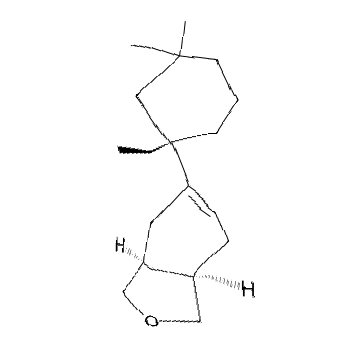 CC1(C)CCC[C@](C)(C2=CC[C@H]3COC[C@H]3C2)C1